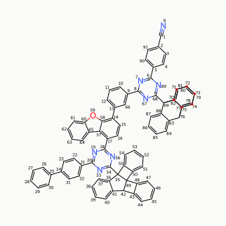 N#Cc1ccc(-c2nc(-c3cccc(-c4ccc(-c5nc(-c6ccc(-c7ccccc7)cc6)nc(C67c8ccccc8C8c9ccccc9C86c6ccccc67)n5)c5c4oc4ccccc45)c3)nc(C34c5ccccc5C(c5ccccc53)c3ccccc34)n2)cc1